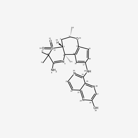 C[C@H]1C[C@@H]2[C@](C)(N=C(N)C(C)(C)S2(=O)=O)c2cc(Nc3nccc4nc(O)cnc34)ccc2O1